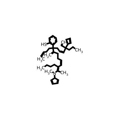 C=CC(/C=C\CC(CC/C=C\C)(C(=C)CC/C=C\C(CCCC)=C(/C)N(C)C1C=CC=C1)c1ccccc1S)(CCC)C1C=CC1